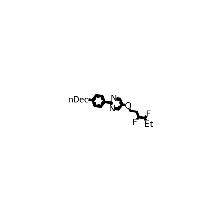 CCCCCCCCCCc1ccc(-c2ncc(OCCC(F)C(F)CC)cn2)cc1